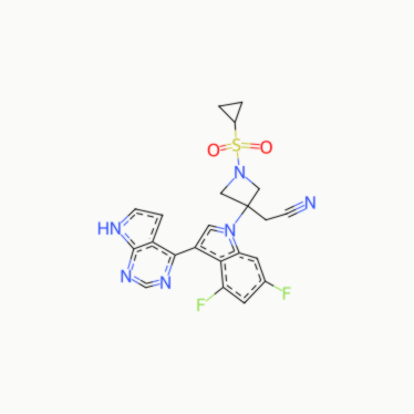 N#CCC1(n2cc(-c3ncnc4[nH]ccc34)c3c(F)cc(F)cc32)CN(S(=O)(=O)C2CC2)C1